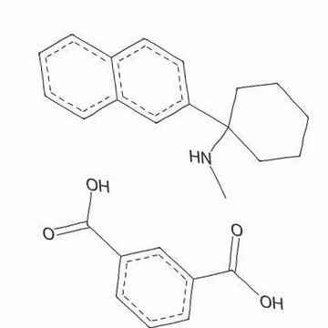 CNC1(c2ccc3ccccc3c2)CCCCC1.O=C(O)c1cccc(C(=O)O)c1